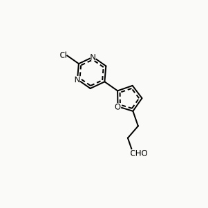 O=CCCc1ccc(-c2cnc(Cl)nc2)o1